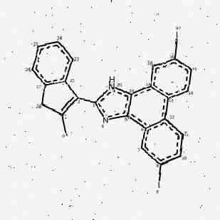 CC1=C(c2nc3c4cc(I)ccc4c4ccc(I)cc4c3[nH]2)c2ccccc2C1